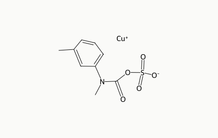 Cc1cccc(N(C)C(=O)OS(=O)(=O)[O-])c1.[Cu+]